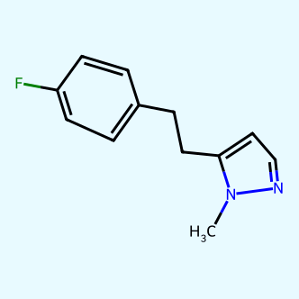 Cn1nccc1CCc1ccc(F)cc1